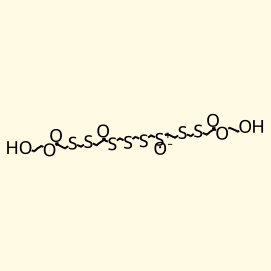 O=C(CSCSCC[S+]([O-])CSCSCSC(=O)CSCSCC(=O)OCCO)OCCO